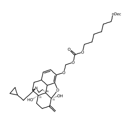 C=C1CC[C@@]2(O)C3CC4C=CC(OCOC(=O)OCCCCCCCCCCCCCCCC)=C5O[C@]1(O)[C@]2(CCN3CC1CC1)C54